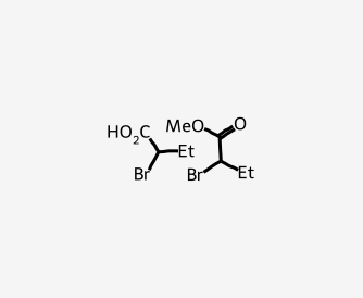 CCC(Br)C(=O)O.CCC(Br)C(=O)OC